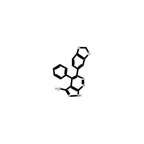 Nc1n[nH]c2nnc(-c3ccc4c(c3)OCO4)c(-c3ccccc3)c12